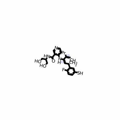 C=C(/C=C(Nc1ccncc1C(=O)NC(CO)CO)\C(=C/C)C(C)C)c1cc(S)ccc1F